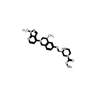 C[C@H]1CN(c2ccnc3c2cnn3C)Cc2ccc(OC[C@@H]3CN(C(=O)OC(C)(C)C)CCN3)cc21